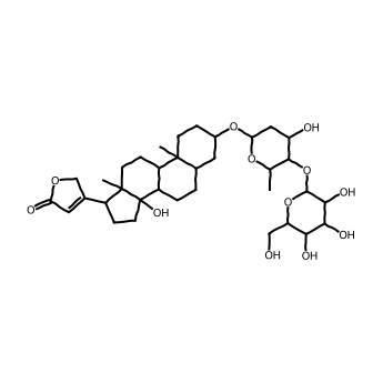 CC1OC(OC2CCC3(C)C(CCC4C3CCC3(C)C(C5=CC(=O)OC5)CCC43O)C2)CC(O)C1OC1OC(CO)C(O)C(O)C1O